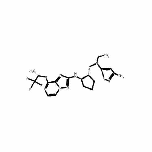 CCN(C[C@@H]1CCC[C@H]1Nc1nc2c(O[C@@H](C)C(F)(F)F)nccn2n1)c1cc(C)ns1